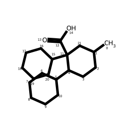 CC1CCC(C2CCCCC2)C(C(=O)O)(C2CCCCC2)C1